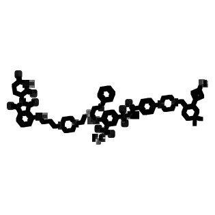 CCC12CC(C3=C(CN4CCN(c5ccc(C(=O)NS(=O)(=O)c6ccc(N[C@H](CCN7CCN(CCCNc8cccc9c8C(=O)N(C8CCC(=O)NC8=O)C9=O)CC7)CSc7ccccc7)c(S(=O)(=O)C(F)(F)F)c6)cc5)CC4)CCC(C)(C)C3)(C1)C2